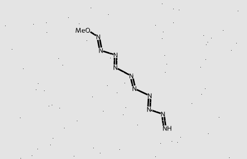 CON=NN=NN=NN=NN=N